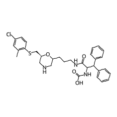 Cc1cc(Cl)ccc1SC[C@@H]1CNCC(CCCNC(=O)C(NC(=O)O)C(c2ccccc2)c2ccccc2)O1